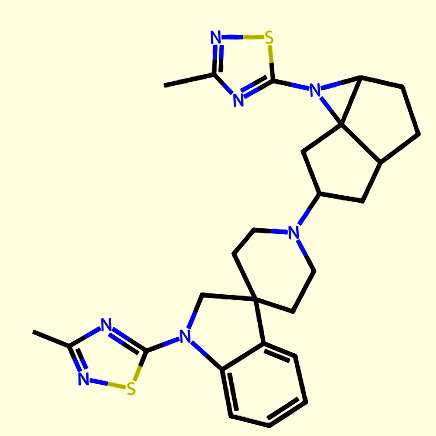 Cc1nsc(N2CC3(CCN(C4CC5CCC6N(c7nc(C)ns7)C56C4)CC3)c3ccccc32)n1